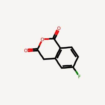 O=C1Cc2cc(F)ccc2C(=O)O1